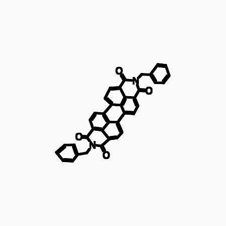 O=C1c2ccc3c4ccc5c6c(ccc(c7ccc(c2c37)C(=O)N1Cc1ccccc1)c64)C(=O)N(Cc1ccccc1)C5=O